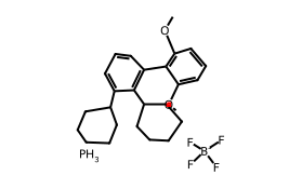 COc1cccc(OC)c1-c1cccc(C2CCCCC2)c1C1CCCCC1.F[B-](F)(F)F.P